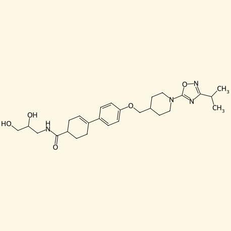 CC(C)c1noc(N2CCC(COc3ccc(C4=CCC(C(=O)NCC(O)CO)CC4)cc3)CC2)n1